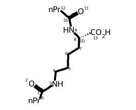 CCCC(=O)NCCCC[C@H](NC(=O)CCC)C(=O)O